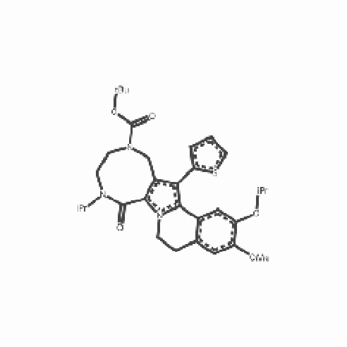 COc1cc2c(cc1OC(C)C)-c1c(-c3cccs3)c3c(n1CC2)C(=O)N(C(C)C)CCN(C(=O)OC(C)(C)C)C3